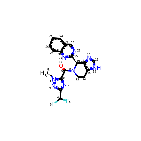 Cn1nc(C(F)F)nc1C(=O)N1CCc2[nH]cnc2[C@@H]1c1ncc2ccccc2n1